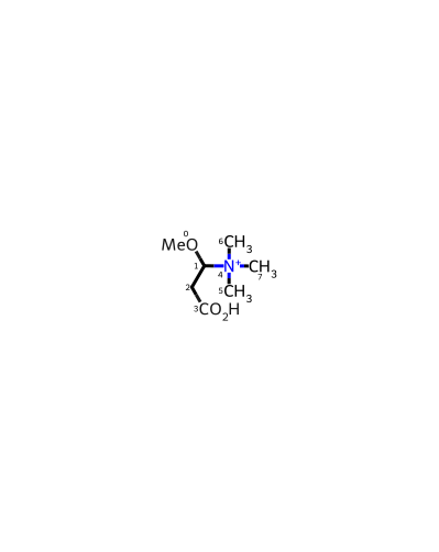 COC(CC(=O)O)[N+](C)(C)C